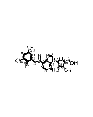 OC[C@H]1O[C@@H](n2cnc3c(NCc4cc(C(F)(F)F)cc(Cl)c4F)ncnc32)[C@H](O)[C@@H]1O